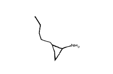 CCCC1CC1N